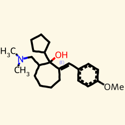 COc1ccc(/C=C2\CCCCC(CN(C)C)C2(O)C2CCCC2)cc1